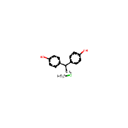 CC(c1ccc(O)cc1)c1ccc(O)cc1.O=C(O)Cl